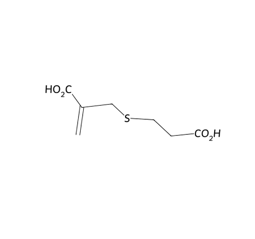 C=C(CSCCC(=O)O)C(=O)O